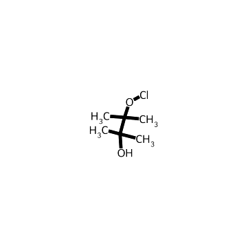 CC(C)(O)C(C)(C)OCl